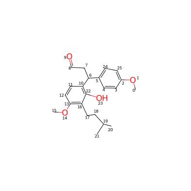 COc1ccc(C(CC=O)c2ccc(OC)c(CCC(C)C)c2O)cc1